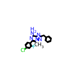 Cc1c(-c2ccc(Cl)cc2F)nc(N)c2nc(Cc3ccccc3)nn12